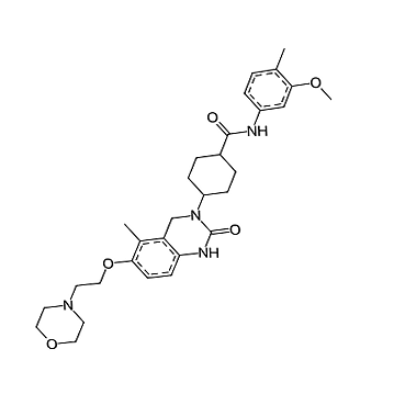 COc1cc(NC(=O)C2CCC(N3Cc4c(ccc(OCCN5CCOCC5)c4C)NC3=O)CC2)ccc1C